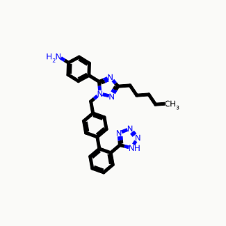 CCCCCc1nc(-c2ccc(N)cc2)n(Cc2ccc(-c3ccccc3-c3nnn[nH]3)cc2)n1